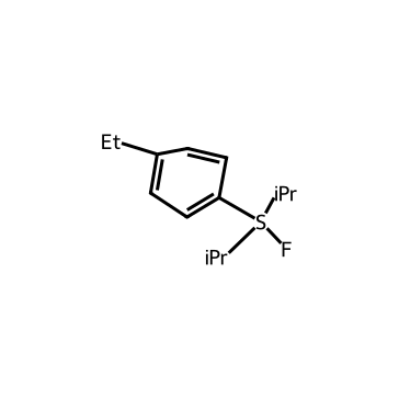 CCc1ccc(S(F)(C(C)C)C(C)C)cc1